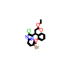 CCOC(=O)CC(c1ccccc1OC)c1c(Cl)nc2ccc(Br)cn12